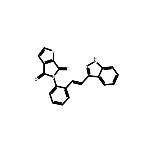 O=C1c2ccsc2C(=O)N1c1ccccc1C=Cc1n[nH]c2ccccc12